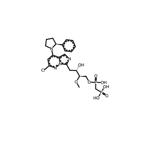 CO[C@H](COP(=O)(O)CP(=O)(O)O)[C@@H](O)Cc1ncc2c(N3CCC[C@H]3c3ccccc3)cc(Cl)nn12